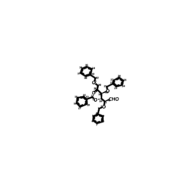 O=C[C@@H](OCc1ccccc1)[C@H](OCc1ccccc1)[C@H](OCc1ccccc1)C(=O)COCc1ccccc1